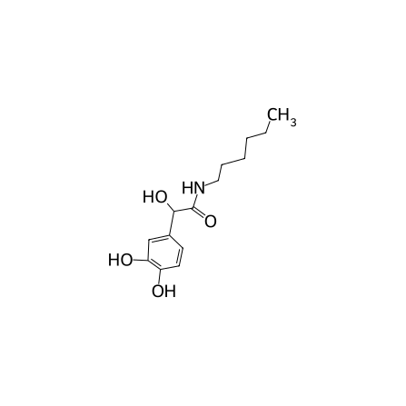 CCCCCCNC(=O)C(O)c1ccc(O)c(O)c1